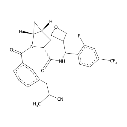 CC(C#N)Cc1cccc(C(=O)N2[C@@H](C(=O)N[C@@H](c3ccc(C(F)(F)F)cc3F)C3COC3)C[C@H]3C[C@H]32)c1